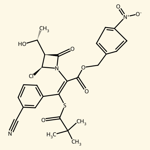 C[C@@H](O)[C@H]1C(=O)N(C(C(=O)OCc2ccc([N+](=O)[O-])cc2)=C(SC(=O)C(C)(C)C)c2cccc(C#N)c2)[C@H]1Cl